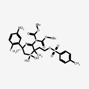 Cc1ccc(S(=O)(=O)OCCC2(C)C(N(C(=O)OC(C)(C)C)C(=O)OC(C)(C)C)=N[C@](C)(c3cc([N+](=O)[O-])ccc3F)CS2(O)O)cc1